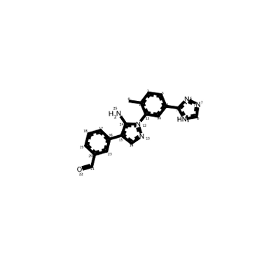 Cc1ccc(-c2nnc[nH]2)cc1-n1ncc(-c2cccc(C=O)c2)c1N